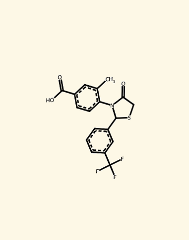 Cc1cc(C(=O)O)ccc1N1C(=O)CSC1c1cccc(C(F)(F)F)c1